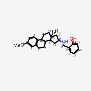 COc1ccc2c(c1)CCC1C2CCC2(C)CC(NCc3ccccc3O)CC12